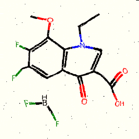 CCn1cc(C(=O)O)c(=O)c2cc(F)c(F)c(OC)c21.FBF